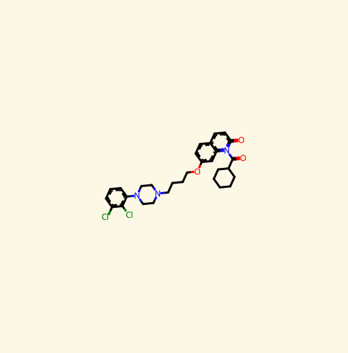 O=C(C1CCCCC1)n1c(=O)ccc2ccc(OCCCCN3CCN(c4cccc(Cl)c4Cl)CC3)cc21